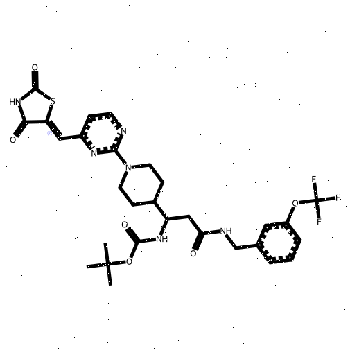 CC(C)(C)OC(=O)NC(CC(=O)NCc1cccc(OC(F)(F)F)c1)C1CCN(c2nccc(/C=C3\SC(=O)NC3=O)n2)CC1